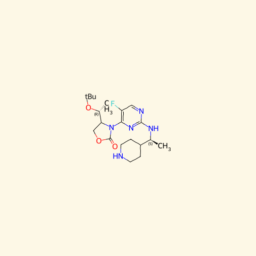 C[C@H](Nc1ncc(F)c(N2C(=O)OCC2[C@@H](C)OC(C)(C)C)n1)C1CCNCC1